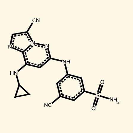 N#Cc1cc(Nc2cc(NC3CC3)c3ncc(C#N)n3n2)cc(S(N)(=O)=O)c1